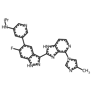 Cc1cn(-c2nccc3[nH]c(-c4n[nH]c5cc(F)c(-c6cncc(NC(C)C)c6)cc45)nc23)cn1